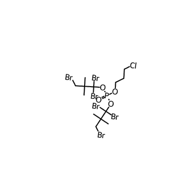 CC(C)(CBr)C(Br)(Br)OP(=O)(OCCCCl)OC(Br)(Br)C(C)(C)CBr